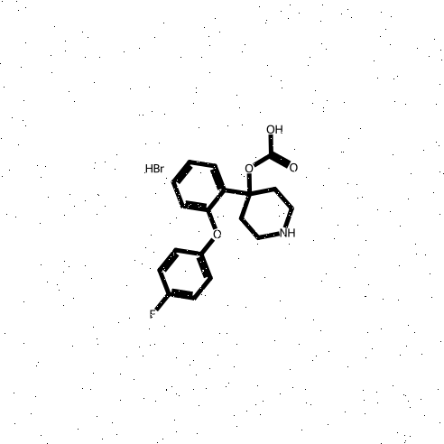 Br.O=C(O)OC1(c2ccccc2Oc2ccc(F)cc2)CCNCC1